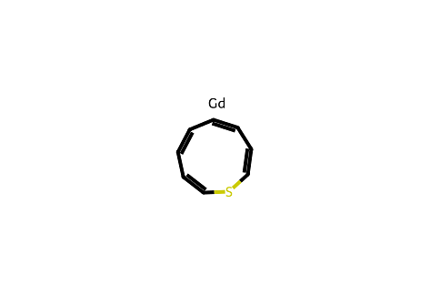 [Gd].c1ccccsccc1